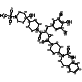 CS(=O)(=O)N1CCC(O)(C2CCN(C(=O)[C@@H](Cc3cc(Br)c(O)c(Br)c3)OC(=O)N3CCC(N4CCc5ccccc5NC4=O)CC3)CC2)CC1